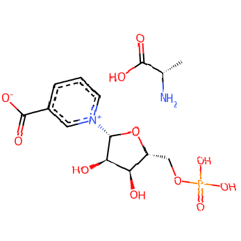 C[C@H](N)C(=O)O.O=C([O-])c1ccc[n+]([C@@H]2O[C@H](COP(=O)(O)O)[C@@H](O)[C@H]2O)c1